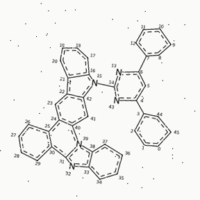 c1ccc(-c2cc(-c3ccccc3)nc(-n3c4ccccc4c4cc5c6ccccc6c6nc7ccccc7n6c5cc43)n2)cc1